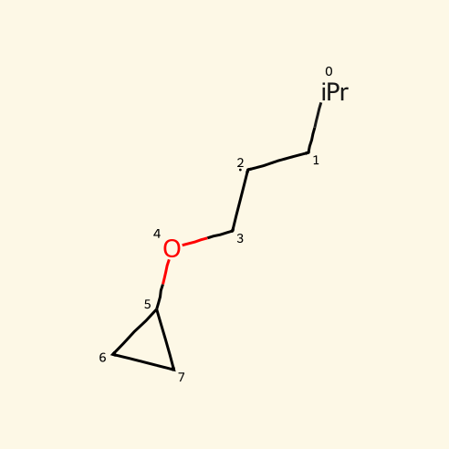 CC(C)C[CH]COC1CC1